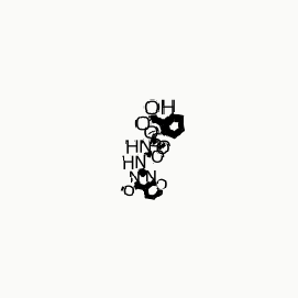 COc1nc(NC(=O)NS(=O)(=O)c2ccccc2C(=O)O)nc2c1CCCO2